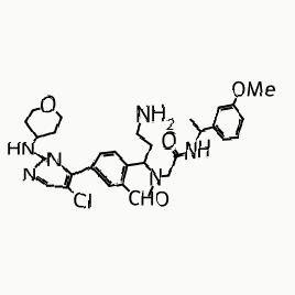 COc1cccc(C(C)NC(=O)CN(C)C(CCN)c2ccc(-c3nc(NC4CCOCC4)ncc3Cl)cc2C=O)c1